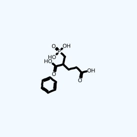 O=C(O)CCC(CP(=O)(O)O)C(=O)O.c1ccccc1